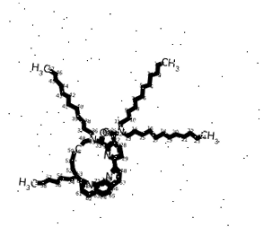 CCCCCCCCCCCCN(CCCCCCCCCCCC)C(=O)c1ccc2nc1C(=O)N(CCCCCCCCCCCC)CCCCCC(CCCCCC)c1ccc3ccc4ccc-2nc4c3n1